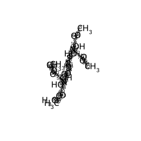 CCCCOC(=O)CCCCC(O)CN(CCCSSCCN1CCN(CCOC(=O)CCCN(CC(O)CCCCC(=O)OCC(CC)CC)CC(O)CCCCC(=O)OCC(CC)CC)CC1)CC(O)CCCCC(=O)OCCCC